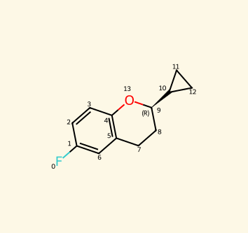 Fc1ccc2c(c1)CC[C@H](C1CC1)O2